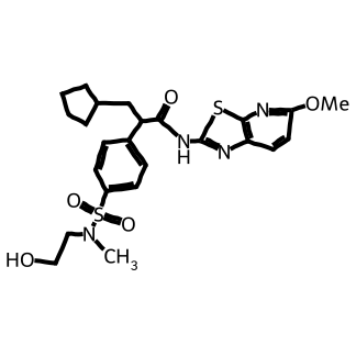 COc1ccc2nc(NC(=O)C(CC3CCCC3)c3ccc(S(=O)(=O)N(C)CCO)cc3)sc2n1